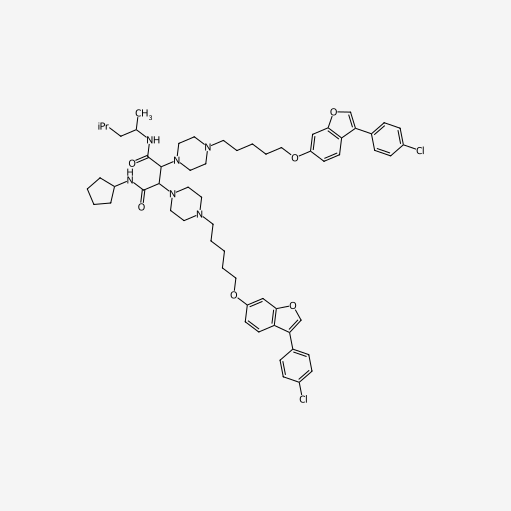 CC(C)CC(C)NC(=O)C(C(C(=O)NC1CCCC1)N1CCN(CCCCCOc2ccc3c(-c4ccc(Cl)cc4)coc3c2)CC1)N1CCN(CCCCCOc2ccc3c(-c4ccc(Cl)cc4)coc3c2)CC1